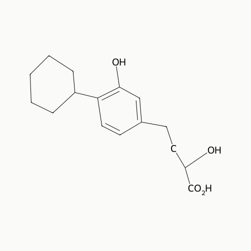 O=C(O)C(O)CCc1ccc(C2CCCCC2)c(O)c1